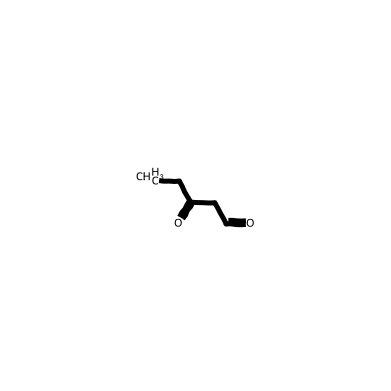 CCC(=O)CC=O.[CH]